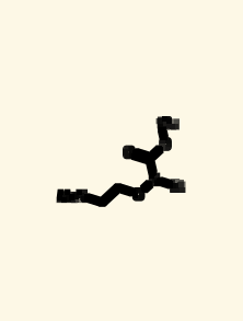 CCN(OCCNC)C(=O)OC(C)(C)C